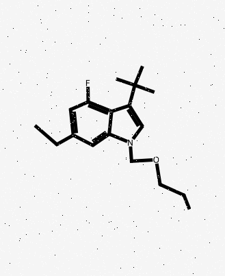 CCCOCn1cc(C(C)(C)C)c2c(F)cc(CC)cc21